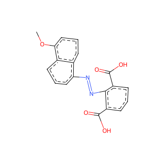 COc1cccc2c(N=Nc3c(C(=O)O)cccc3C(=O)O)cccc12